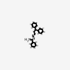 NC(=NN=CCC(c1ccccc1)c1ccccc1)c1ccccc1